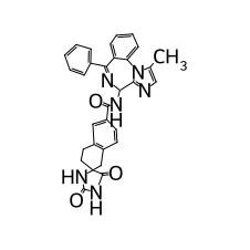 Cc1cnc2n1-c1ccccc1C(c1ccccc1)=NC2NC(=O)c1ccc2c(c1)CCC1(C2)NC(=O)NC1=O